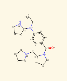 CCN(c1ccc(C(=O)N2CCCC2CN2CCCC2)cc1)C1CCCN1